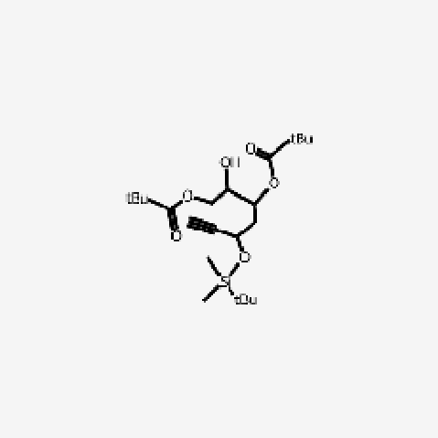 C#CC(CC(OC(=O)C(C)(C)C)C(O)COC(=O)C(C)(C)C)O[Si](C)(C)C(C)(C)C